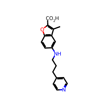 Cc1c(C(=O)O)oc2ccc(NCCCc3ccncc3)cc12